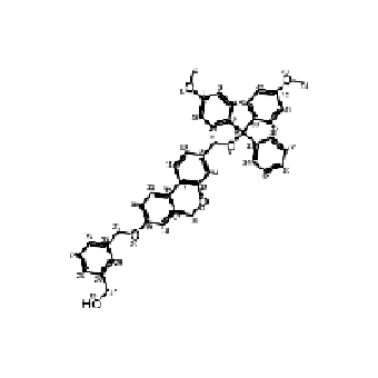 COc1ccc(C(OCc2ccc3c(c2)OCc2cc(OCc4cccc(CO)c4)ccc2-3)(c2ccccc2)c2ccc(OC)cc2)cc1